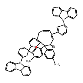 CCC1/C=C(c2cccc(-n3c4ccccc4c4ccccc43)c2)\C=C/Cc2ccc(C3(C)C=CC=C(N4c5ccccc5C5C=CC=CC54)C3)cc2C1(c1ccc(N)cc1)c1ccc(N)cc1